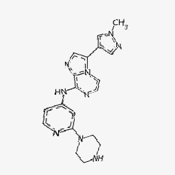 Cn1cc(-c2cnc3c(Nc4ccnc(N5CCNCC5)c4)nccn23)cn1